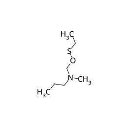 CCCN(C)COSCC